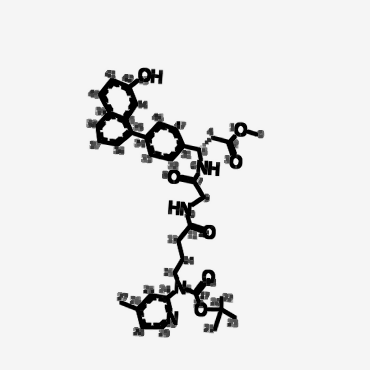 COC(=O)C[C@H](NC(=O)CNC(=O)CCCN(C(=O)OC(C)(C)C)c1cc(C)ccn1)c1ccc(-c2cccc3ccc(O)cc23)cc1